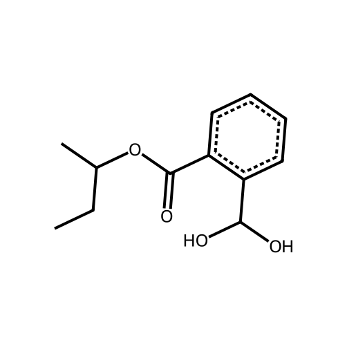 CCC(C)OC(=O)c1ccccc1C(O)O